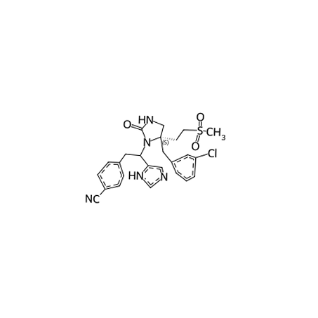 CS(=O)(=O)CC[C@@]1(Cc2cccc(Cl)c2)CNC(=O)N1C(Cc1ccc(C#N)cc1)c1cnc[nH]1